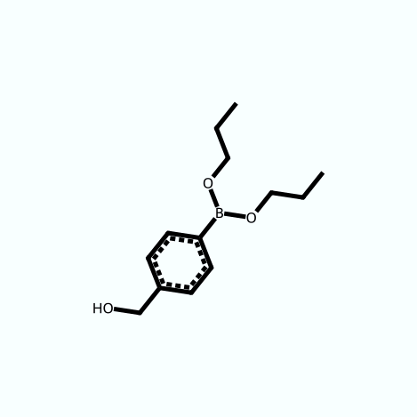 CCCOB(OCCC)c1ccc(CO)cc1